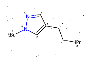 CC(C)CCc1cnn(C(C)(C)C)c1